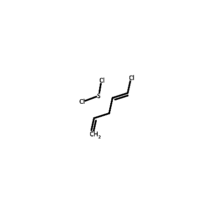 C=CCC=CCl.ClSCl